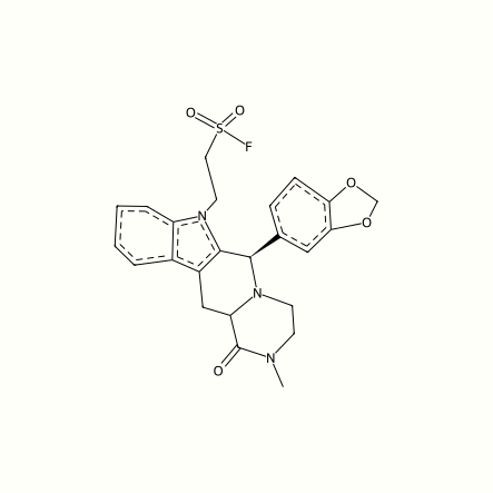 CN1CCN2C(Cc3c(n(CCS(=O)(=O)F)c4ccccc34)[C@H]2c2ccc3c(c2)OCO3)C1=O